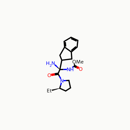 CC[C@@H]1CCCN1C(=O)[C@@](N)(NC(=O)OC)C1Cc2ccccc2C1